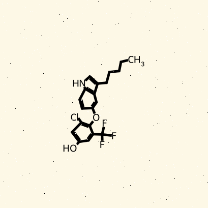 CCCCCc1c[nH]c2ccc(Oc3c(Cl)cc(O)cc3C(F)(F)F)cc12